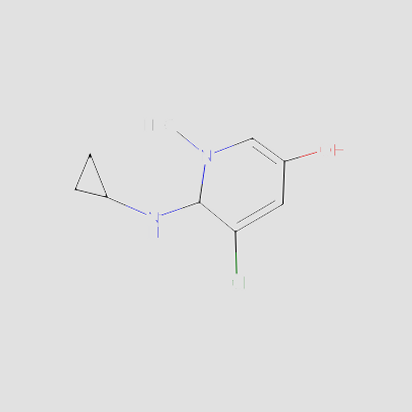 CN1C=C(O)C=C(Cl)C1NC1CC1